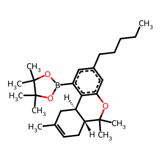 CCCCCc1cc2c(c(B3OC(C)(C)C(C)(C)O3)c1)[C@@H]1CC(C)=CC[C@H]1C(C)(C)O2